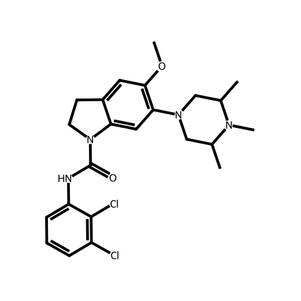 COc1cc2c(cc1N1CC(C)N(C)C(C)C1)N(C(=O)Nc1cccc(Cl)c1Cl)CC2